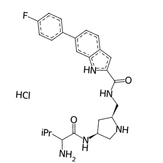 CC(C)C(N)C(=O)N[C@@H]1CN[C@H](CNC(=O)c2cc3ccc(-c4ccc(F)cc4)cc3[nH]2)C1.Cl